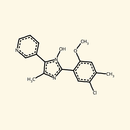 COc1cc(C)c(Cl)cc1-c1nc(C)c(-c2cccnc2)n1O